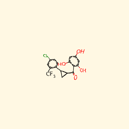 O=C(c1c(O)cc(O)cc1O)C1CC1c1ccc(Cl)cc1C(F)(F)F